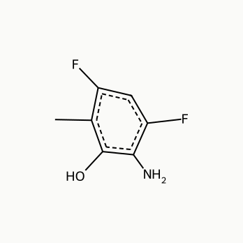 Cc1c(F)cc(F)c(N)c1O